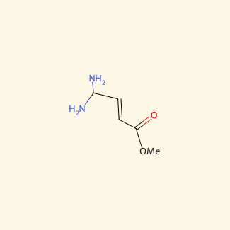 COC(=O)/C=C/C(N)N